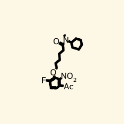 CC(=O)c1ccc(F)c(OCCCCCC(=O)N(C)C2CCCCC2)c1[N+](=O)[O-]